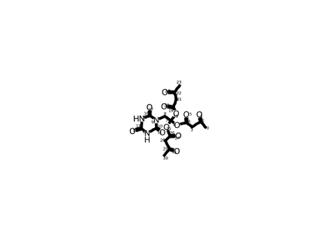 CC(=O)CC(=O)OC(Cn1c(=O)[nH]c(=O)[nH]c1=O)(OC(=O)CC(C)=O)OC(=O)CC(C)=O